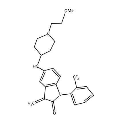 C=C1C(=O)N(c2ccccc2C(F)(F)F)c2ccc(NC3CCN(CCOC)CC3)cc21